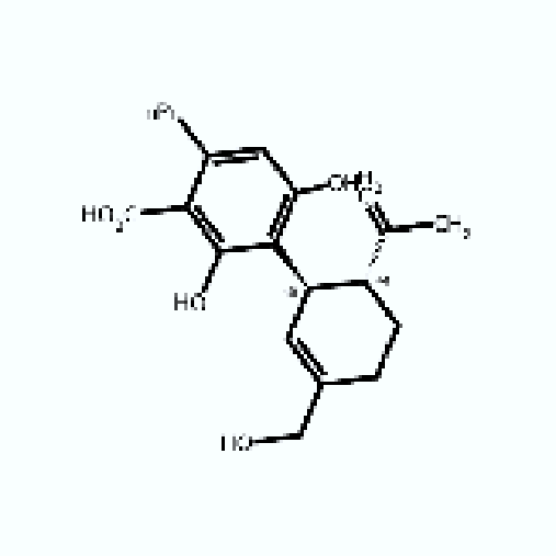 C=C(C)[C@@H]1CCC(CO)=C[C@H]1c1c(O)cc(CCC)c(C(=O)O)c1O